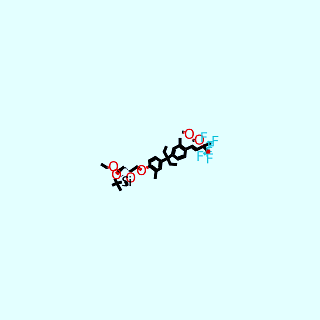 CCOC(=O)C[C@H](COc1ccc(C(CC)(CC)c2ccc(C=CC(OCOC)(C(F)(F)F)C(F)(F)F)c(C)c2)cc1C)O[Si](C)(C)C(C)(C)C